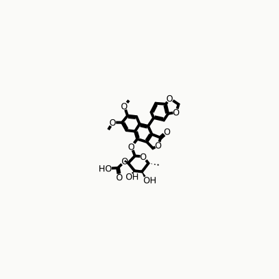 COc1cc2c(OC3O[C@H](C)[C@@H](O)[C@H](O)[C@H]3OC(=O)O)c3c(c(-c4ccc5c(c4)OCO5)c2cc1OC)C(=O)OC3